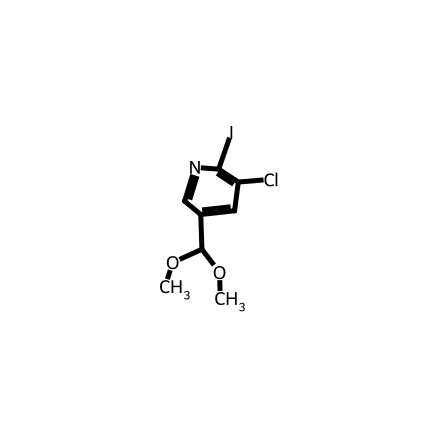 COC(OC)c1cnc(I)c(Cl)c1